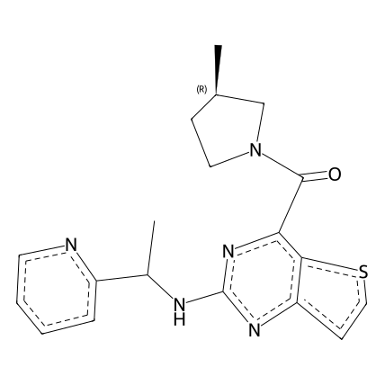 CC(Nc1nc(C(=O)N2CC[C@@H](C)C2)c2sccc2n1)c1ccccn1